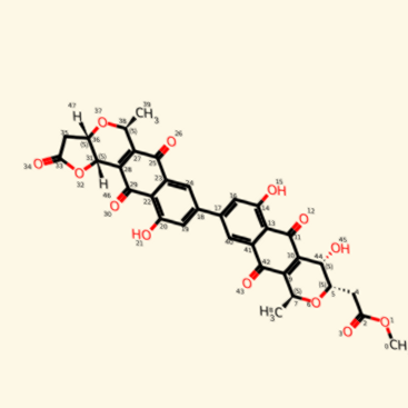 COC(=O)C[C@@H]1O[C@@H](C)C2=C(C(=O)c3c(O)cc(-c4cc(O)c5c(c4)C(=O)C4=C(C5=O)[C@@H]5OC(=O)C[C@@H]5O[C@H]4C)cc3C2=O)[C@@H]1O